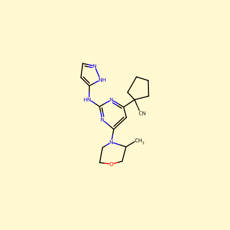 CC1COCCN1c1cc(C2(C#N)CCCC2)nc(Nc2ccn[nH]2)n1